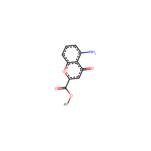 CC(C)OC(=O)c1cc(=O)c2c(N)cccc2o1